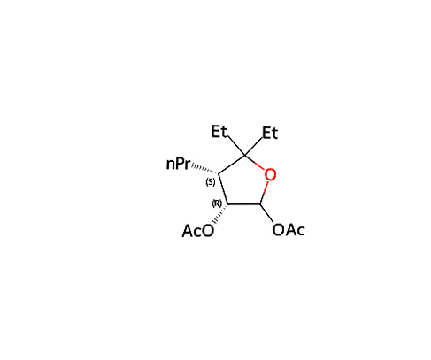 CCC[C@H]1[C@@H](OC(C)=O)C(OC(C)=O)OC1(CC)CC